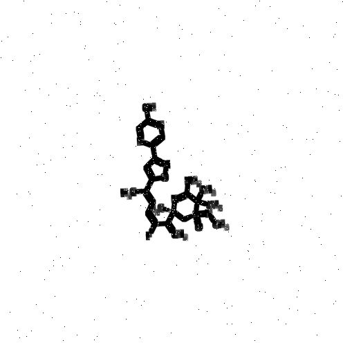 C=C(/C(F)=C\C=C(/C)c1cc(-c2cnc(O)cn2)no1)[C@]1(C)C[S@](=O)(=NC)C(C)(C)C(N)=N1